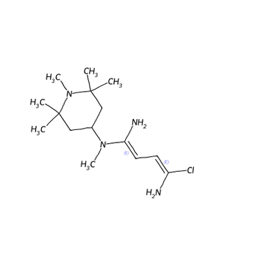 CN(/C(N)=C/C=C(\N)Cl)C1CC(C)(C)N(C)C(C)(C)C1